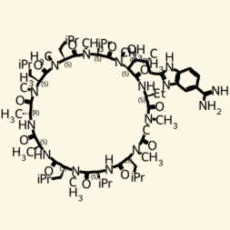 CC[C@@H]1NC(=O)[C@H]([C@H](O)[C@H](C)Cc2nc3cc(C(=N)N)ccc3[nH]2)N(C)C(=O)[C@H](C(C)C)N(C)C(=O)[C@H](CC(C)C)N(C)C(=O)[C@H](CC(C)C)N(C)C(=O)[C@@H](C)NC(=O)[C@H](C)NC(=O)[C@H](CC(C)C)N(C)C(=O)[C@H](C(C)C)NC(=O)[C@H](CC(C)C)N(C)C(=O)CN(C)C1=O